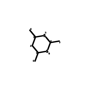 CC1CC(C)SC(C)S1